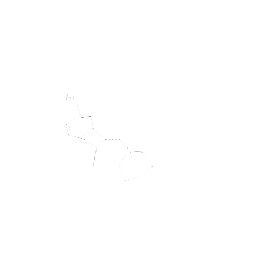 CC1=C(CN2CCCCC2)c2cc(O)ccc21